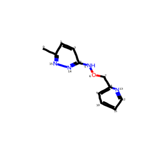 Cc1ccc(NOCc2ccccn2)nn1